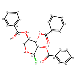 O=C(O[C@@H]1[C@@H](OC(=O)c2ccccc2)[C@H](OC(=O)c2ccccc2)CO[C@@H]1Cl)c1ccccc1